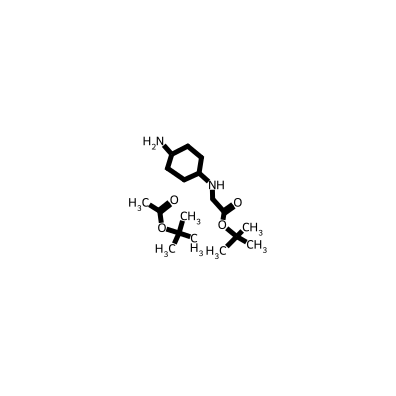 CC(=O)OC(C)(C)C.CC(C)(C)OC(=O)CNC1CCC(N)CC1